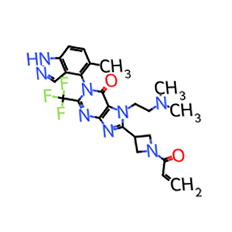 C=CC(=O)N1CC(c2nc3nc(C(F)(F)F)n(-c4c(C)ccc5[nH]ncc45)c(=O)c3n2CCN(C)C)C1